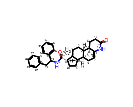 C[C@]12CC[C@H]3[C@@H](CC=C4NC(=O)CC[C@@]43C)[C@@H]1CC[C@@H]2C(=O)NC(Cc1ccccc1)c1ccccc1